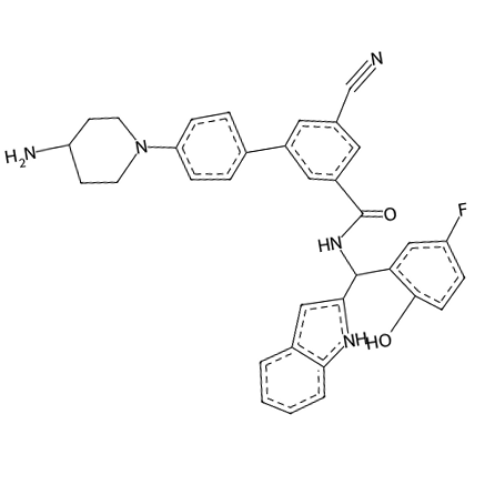 N#Cc1cc(C(=O)NC(c2cc3ccccc3[nH]2)c2cc(F)ccc2O)cc(-c2ccc(N3CCC(N)CC3)cc2)c1